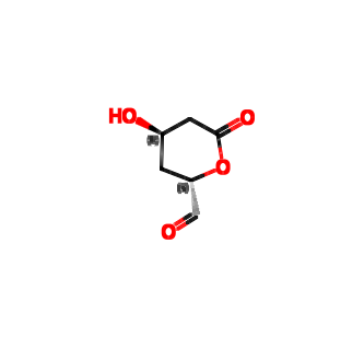 O=C[C@@H]1C[C@@H](O)CC(=O)O1